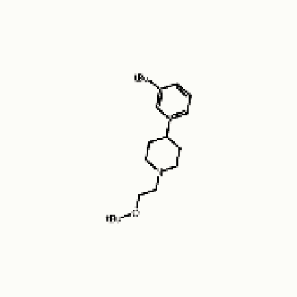 CC(C)(C)OCCN1CCC(c2cccc(C(C)(C)C)c2)CC1